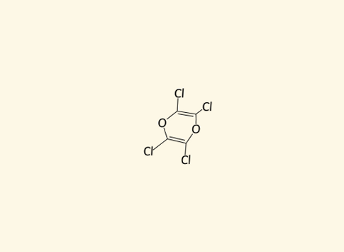 ClC1=C(Cl)OC(Cl)=C(Cl)O1